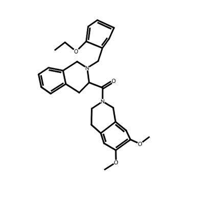 CCOc1ccccc1CN1Cc2ccccc2CC1C(=O)N1CCc2cc(OC)c(OC)cc2C1